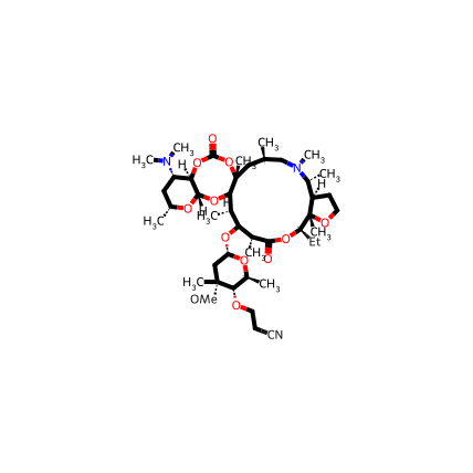 CC[C@H]1OC(=O)[C@H](C)C(O[C@H]2C[C@@](C)(OC)[C@@H](OCCC#N)[C@H](C)O2)[C@H](C)[C@H]2O[C@@H]3O[C@H](C)C[C@H](N(C)C)[C@H]3OC(=O)O[C@]2(C)C[C@@H](C)CN(C)[C@H](C)[C@H]2CCO[C@@]21C